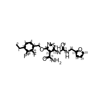 CCc1ccc(COc2nsc(NC(=O)NCc3ccco3)c2C(N)=O)c(F)c1F